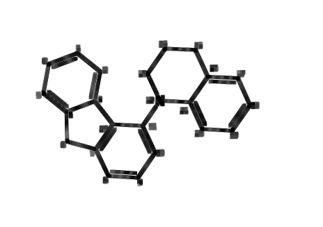 c1ccc2c(c1)Cc1cccc(N3CCCc4ccccc43)c1-2